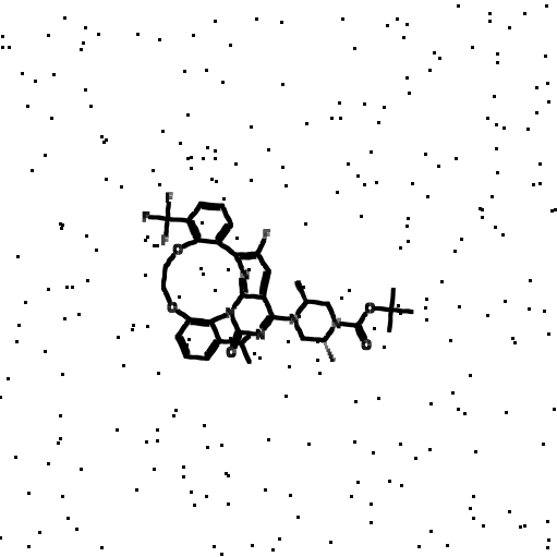 CC(C)c1cccc2c1-n1c(=O)nc(N3C[C@@H](C)N(C(=O)OC(C)(C)C)C[C@@H]3C)c3cc(F)c(nc31)-c1cccc(C(F)(F)F)c1OCCO2